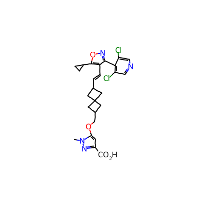 Cn1nc(C(=O)O)cc1OCC1CC2(CC(/C=C/c3c(-c4c(Cl)cncc4Cl)noc3C3CC3)C2)C1